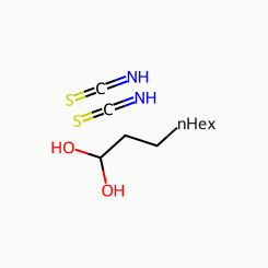 CCCCCCCCC(O)O.N=C=S.N=C=S